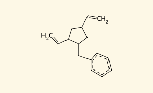 C=CC1CC(C=C)C(Cc2ccccc2)C1